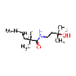 CNCCC(C)(C)C(=O)NCCC(C)(C)O